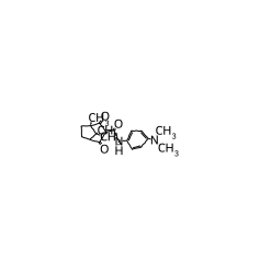 CN(C)c1ccc(NC(=O)C2C(=O)C3CC[C@](C)(C2=O)C3(C)C)cc1